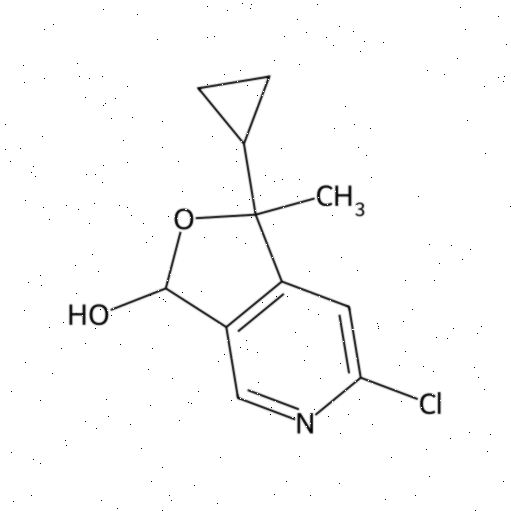 CC1(C2CC2)OC(O)c2cnc(Cl)cc21